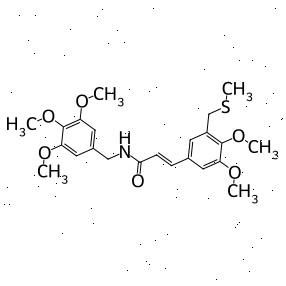 COc1cc(/C=C/C(=O)NCc2cc(OC)c(OC)c(OC)c2)cc(CSC)c1OC